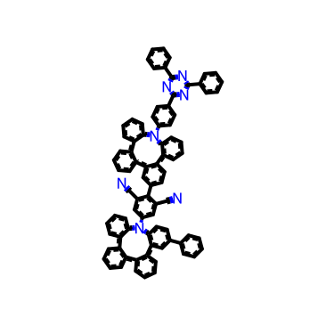 N#Cc1cc(-n2c3ccccc3c3ccccc3c3ccccc3c3cc(-c4ccccc4)ccc32)cc(C#N)c1-c1ccc2c(c1)c1ccccc1c1ccccc1n(-c1ccc(-c3nc(-c4ccccc4)nc(-c4ccccc4)n3)cc1)c1ccccc21